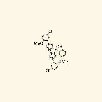 COc1ccc(Cl)cc1-n1cc(C(O)(c2ccccc2)c2cn(-c3cc(Cl)ccc3OC)nn2)nn1